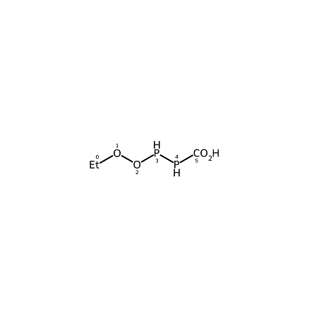 CCOOPPC(=O)O